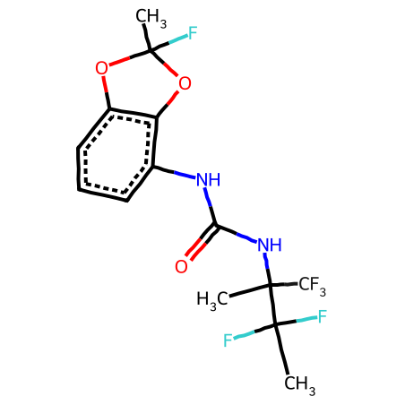 CC1(F)Oc2cccc(NC(=O)NC(C)(C(C)(F)F)C(F)(F)F)c2O1